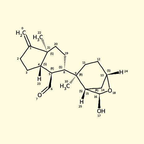 C=C1CC[C@H]2[C@H](C=O)[C@@H]([C@@]3(C)CC[C@H]4C[C@@H]3[C@H](O)O4)CC[C@]12C